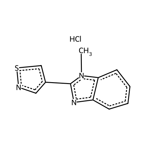 Cl.Cn1c(-c2cnsc2)nc2ccccc21